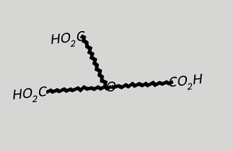 O=C(O)CCCCCCCCCCCCCCCCCOCC(CCCCCCCCCCCCCCCCCC(=O)O)CCCCCCCCCCCCCCCCCC(=O)O